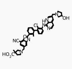 Cc1c(-c2nc3cc(CN4CCC(C)(C(=O)O)C4)cc(C#N)c3o2)cccc1-c1cccc(Nc2nccc3cc(CN4CCC(O)C4)cnc23)c1Cl